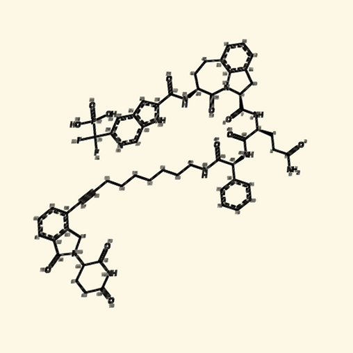 NC(=O)CC[C@H](NC(=O)[C@@H]1Cc2cccc3c2N1C(=O)[C@@H](NC(=O)c1cc2cc(C(F)(F)P(=O)(O)O)ncc2[nH]1)CC3)C(=O)N[C@H](C(=O)NCCCCCCCC#Cc1cccc2c1CN(C1CCC(=O)NC1=O)C2=O)c1ccccc1